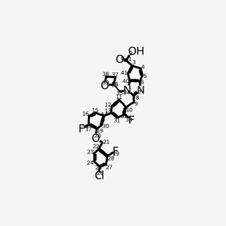 O=C(O)c1ccc2nc(Cc3ccc(-c4ccc(F)c(OCc5ccc(Cl)cc5F)c4)cc3F)n(C[C@@H]3CCO3)c2c1